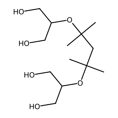 CC(C)(CC(C)(C)OC(CO)CO)OC(CO)CO